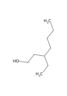 CCCCC(CC)C[CH]O